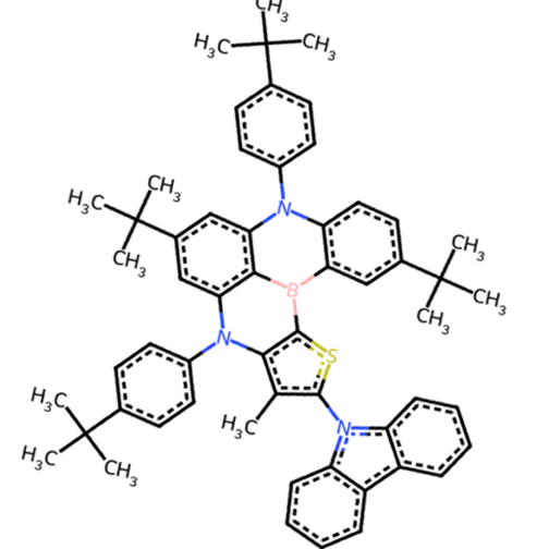 Cc1c(-n2c3ccccc3c3ccccc32)sc2c1N(c1ccc(C(C)(C)C)cc1)c1cc(C(C)(C)C)cc3c1B2c1cc(C(C)(C)C)ccc1N3c1ccc(C(C)(C)C)cc1